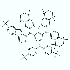 CC(C)(C)c1ccc(N(c2ccc(C(C)(C)C)cc2)c2cc3c4c(c2)N(c2cccc5c2sc2cc(C(C)(C)C)ccc25)c2cc5c(cc2B4c2cc4c(cc2N3c2ccc3c(c2)C(C)(C)CCC3(C)C)C(C)(C)CCC4(C)C)C(C)(C)CCC5(C)C)cc1